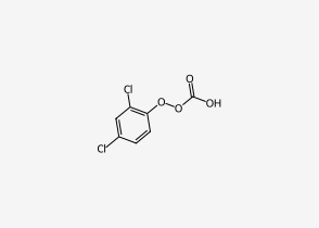 O=C(O)OOc1ccc(Cl)cc1Cl